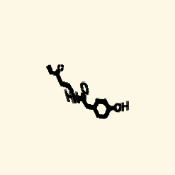 C=CC(=O)CCNC(=O)C=C1CCC(O)CC1